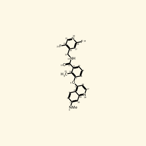 CNc1ccc2c(Oc3cccc(C(=O)NCc4cc(F)ncc4F)c3C)ccnc2c1